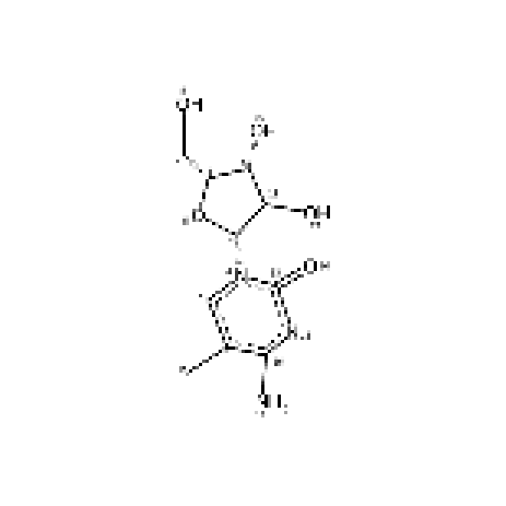 Cc1cn([C@@H]2O[C@H](CO)[C@H](O)C2O)c(=O)nc1N